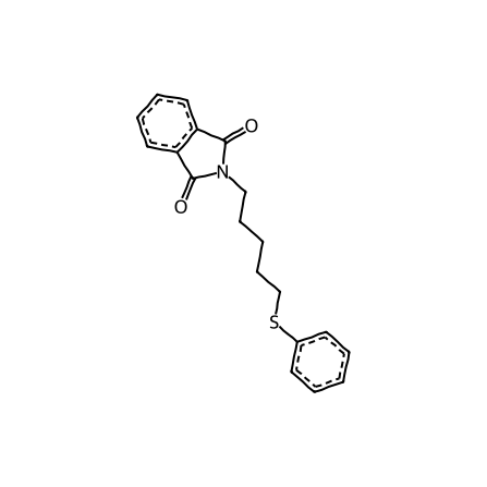 O=C1c2ccccc2C(=O)N1CCCCCSc1ccccc1